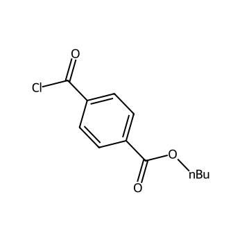 CCCCOC(=O)c1ccc(C(=O)Cl)cc1